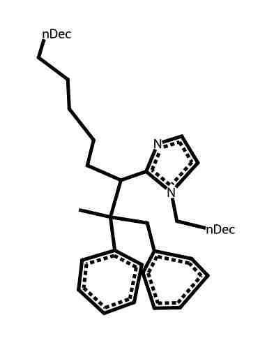 CCCCCCCCCCCCCCCC(c1nccn1CCCCCCCCCCC)C(C)(Cc1ccccc1)c1ccccc1